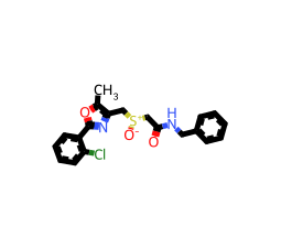 Cc1oc(-c2ccccc2Cl)nc1C[S+]([O-])CC(=O)NCc1ccccc1